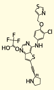 Clc1cc(Nc2ncnc3cc(C#C[C@H]4CCCN4)sc23)ccc1OCc1cscn1.O=C(O)C(F)(F)F